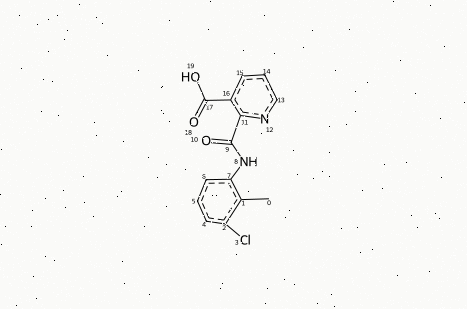 Cc1c(Cl)cccc1NC(=O)c1ncccc1C(=O)O